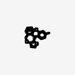 COc1cc(C)ccc1N1c2ccccc2COc2ccoc21